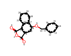 O=C1OC(=O)c2c1cc(OCc1ccccc1)c1ccccc21